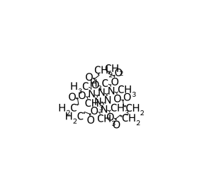 C=CC(=O)OC(C)N(c1nc(N(C(C)OC(=O)C=C)C(C)OC(=O)C=C)nc(N(C(C)OC(=O)C=C)C(C)OC(=O)C=C)n1)C(C)OC(=O)C=C